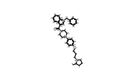 CC1CCCN1CCCOc1ccc(N2CCN(C(=O)c3cn(Cc4ccccc4)c4ccccc34)CC2)cc1